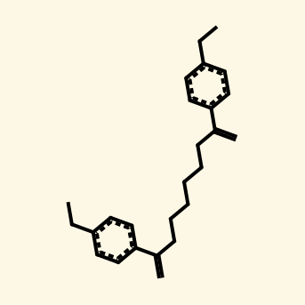 C=C(CCCCCCC(=C)c1ccc(CC)cc1)c1ccc(CC)cc1